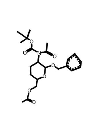 CC(=O)OCC1[CH][CH]C(N(C(C)=O)C(=O)OC(C)(C)C)C(OCc2ccccc2)O1